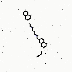 CC#CCCNC1=CC(=O)c2ccc(C/C(C)=C/CC/C(C)=C/CNC3=CC(=O)c4ccccc4C3=O)cc2C1=O